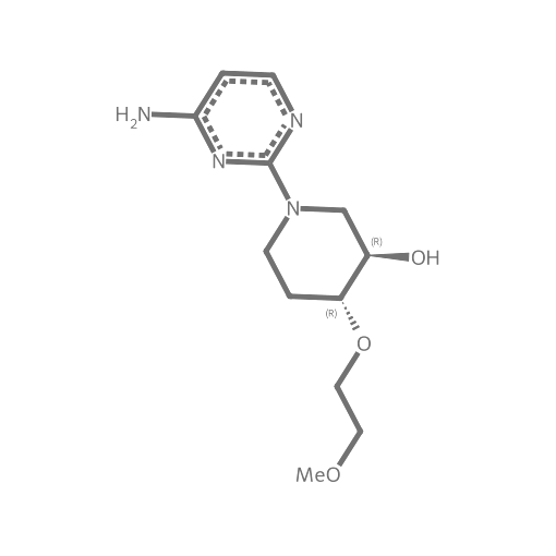 COCCO[C@@H]1CCN(c2nccc(N)n2)C[C@H]1O